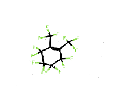 FC(F)(F)C1=C(C(F)(F)F)C(F)(F)C(F)(F)C(F)(F)C1(F)F